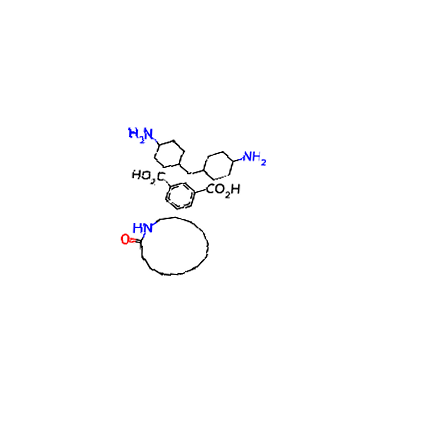 NC1CCC(CC2CCC(N)CC2)CC1.O=C(O)c1cccc(C(=O)O)c1.O=C1CCCCCCCCCCCN1